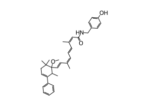 COC1(C=CC(C)=CC=CC(C)=CC(=O)NCc2ccc(O)cc2)C(C)C(c2ccccc2)=CCC1(C)C